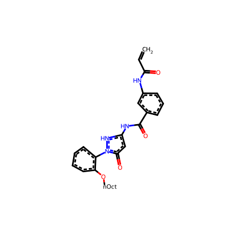 C=CC(=O)Nc1cccc(C(=O)Nc2cc(=O)n(-c3ccccc3OCCCCCCCC)[nH]2)c1